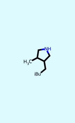 CCC(C)CC1CNCC1C